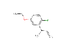 C=C[C](C)c1cc(OCC)ccc1F